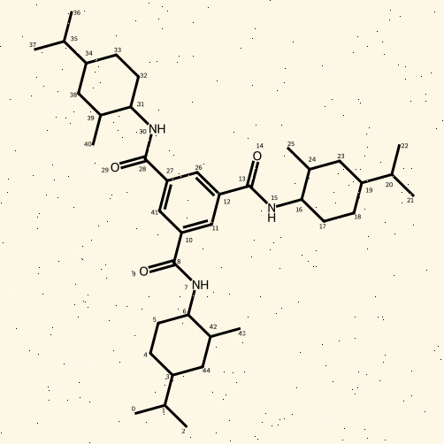 CC(C)C1CCC(NC(=O)c2cc(C(=O)NC3CCC(C(C)C)CC3C)cc(C(=O)NC3CCC(C(C)C)CC3C)c2)C(C)C1